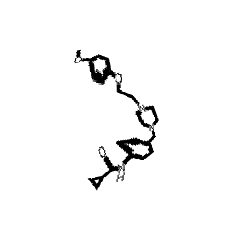 COc1ccc(OCCN2CCN(Cc3ccc(NC(=O)C4CC4)cc3)CC2)cc1